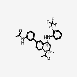 CC(=O)Nc1cccc(-c2ccc3c(c2)[C@H](Nc2ccccc2OC(F)(F)F)C[C@H](C)N3C(C)=O)c1